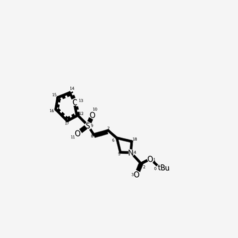 CC(C)(C)OC(=O)N1CC(C=CS(=O)(=O)c2ccccc2)C1